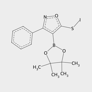 CC1(C)OB(c2c(-c3ccccc3)noc2SI)OC1(C)C